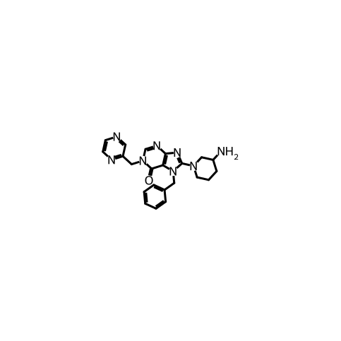 NC1CCCN(c2nc3ncn(Cc4cnccn4)c(=O)c3n2Cc2ccccc2)C1